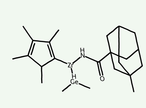 CC1=C(C)C(C)[C]([Zr]([NH]C(=O)C23CC4CC(CC(C)(C4)C2)C3)[GeH]([CH3])[CH3])=C1C